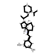 CC(C)[C@H]1COCCN1CC(C)[C@H]1CC[C@H]2/C(=C/C=C3C[C@@H](O)C[C@H](O)C3)CCC[C@]12C